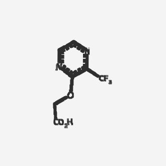 O=C(O)COc1nccnc1C(F)(F)F